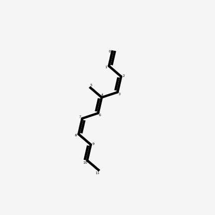 C=C\C=C/C(C)=C/C=C\C=C\C